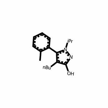 CCCCc1c(O)nn(C(C)C)c1-c1ccccc1C